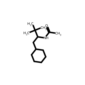 CC(=O)NC(CC1CCCCC1)C(C)(C)C